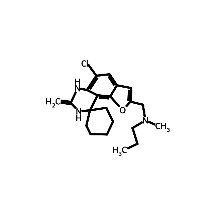 C=C1Nc2c(Cl)cc3cc(CN(C)CCC)oc3c2C2(CCCCC2)N1